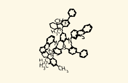 Cc1cc(C)c2c(c1)N(c1ccc3c(c1)N(c1cccc4c1sc1ccccc14)c1cc(N4c5ccc(-c6ccccc6)cc5C5(C)CCCCC45C)cc4c1B3c1ccc(-c3ccccc3)cc1N4c1ccc3c(c1)sc1ccccc13)C1(C)CCCCC21C